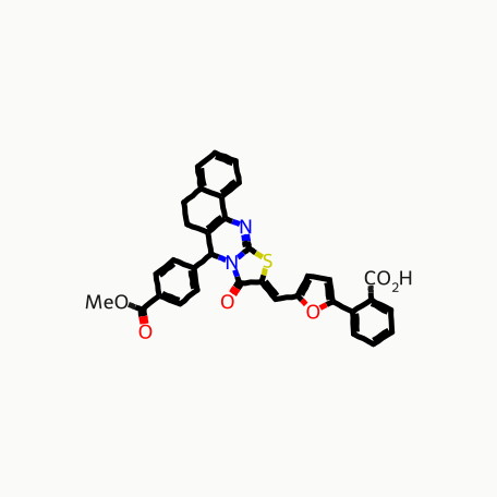 COC(=O)c1ccc(C2C3=C(N=c4s/c(=C\c5ccc(-c6ccccc6C(=O)O)o5)c(=O)n42)c2ccccc2CC3)cc1